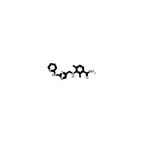 Cc1ccc(C(N)=O)c(C)c1NCc1cnc(Nc2ccccn2)s1